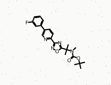 CN(C(=O)OC(C)(C)C)C(C)(C)c1nc(-c2ccc(-c3cccc(F)c3)cn2)no1